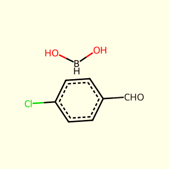 O=Cc1ccc(Cl)cc1.OBO